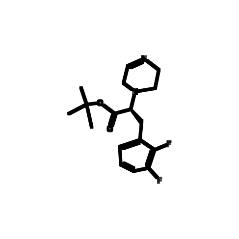 CC(C)(C)OC(=O)[C@H](Cc1cccc(F)c1F)N1CC=NCC1